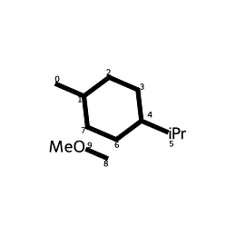 CC1CCC(C(C)C)CC1.COC